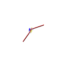 CCCCCCCCCCCCCCCC/C=C/Sc1nnc(S/C=C/CCCCCCCCCCCCCCCC)s1